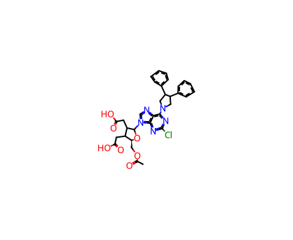 CC(=O)OC[C@@H]1OC(n2cnc3c(N4CC(c5ccccc5)C(c5ccccc5)C4)nc(Cl)nc32)C(CC(=O)O)C1CC(=O)O